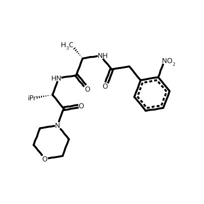 CC(C)[C@H](NC(=O)[C@H](C)NC(=O)Cc1ccccc1[N+](=O)[O-])C(=O)N1CCOCC1